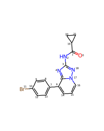 O=C(Nc1nc2c(-c3ccc(Br)cc3)cccn2n1)C1CC1